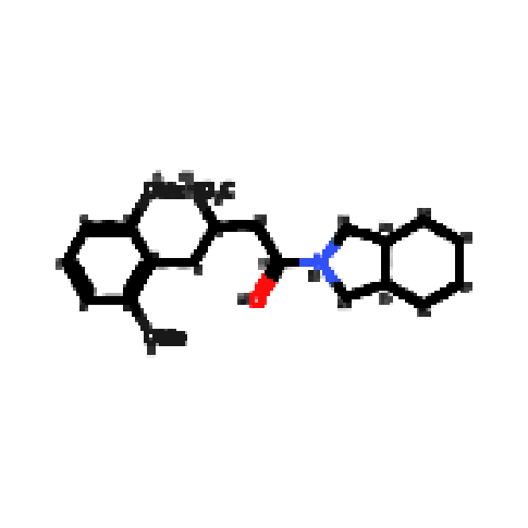 COc1cccc(OC)c1CC(CC(=O)N1CC2CCCCC2C1)C(=O)O